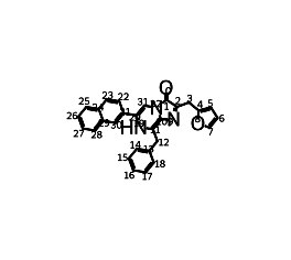 O=c1c(Cc2ccco2)nc2c(Cc3ccccc3)[nH]c(-c3ccc4ccccc4c3)cn1-2